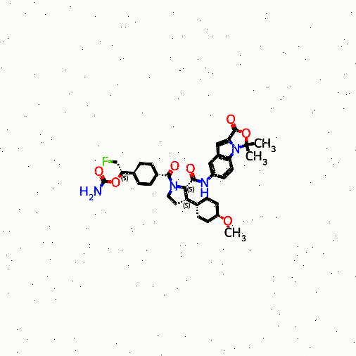 CO[C@H]1CC[C@H]([C@@H]2CCN(C(=O)[C@H]3CC[C@H]([C@@H](CF)OC(N)=O)CC3)[C@@H]2C(=O)Nc2ccc3c(c2)cc2n3C(C)(C)OC2=O)CC1